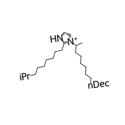 CCCCCCCCCCCCCCCCC(C)[n+]1cc[nH]c1CCCCCCCC(C)C